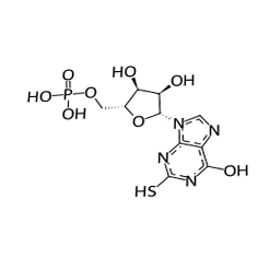 O=P(O)(O)OC[C@H]1O[C@@H](n2cnc3c(O)nc(S)nc32)[C@H](O)[C@@H]1O